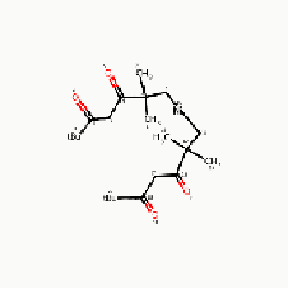 CC(C)(C)C(=O)CC(=O)C(C)(C)[CH2][Ni][CH2]C(C)(C)C(=O)CC(=O)C(C)(C)C